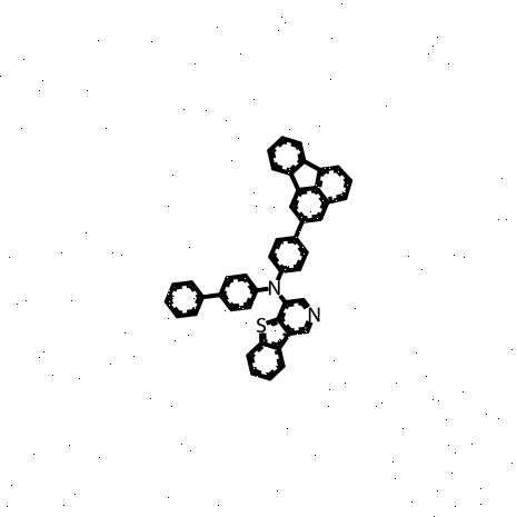 c1ccc(-c2ccc(N(c3ccc(-c4cc5c6c(cccc6c4)-c4ccccc4-5)cc3)c3cncc4c3sc3ccccc34)cc2)cc1